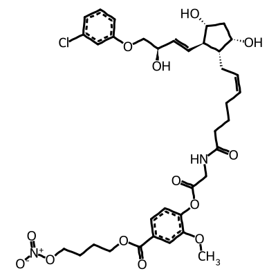 COc1cc(C(=O)OCCCCO[N+](=O)[O-])ccc1OC(=O)CNC(=O)CCC/C=C\C[C@@H]1[C@@H](/C=C/[C@@H](O)COc2cccc(Cl)c2)[C@H](O)C[C@@H]1O